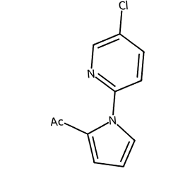 CC(=O)c1cccn1-c1ccc(Cl)cn1